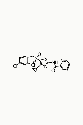 O=C(Nc1nc(C2CC2)c(S(=O)(=O)Cc2ccc(Cl)cc2Cl)s1)c1ccccn1